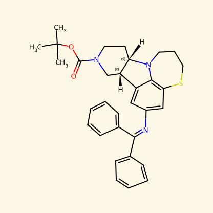 CC(C)(C)OC(=O)N1CC[C@H]2[C@@H](C1)c1cc(N=C(c3ccccc3)c3ccccc3)cc3c1N2CCCS3